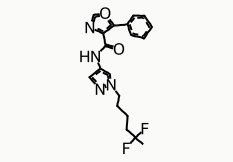 CC(F)(F)CCCCn1cc(NC(=O)c2ncoc2-c2ccccc2)cn1